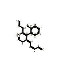 C=C/C=C\C=C1/CC=NC(CC=C)=C1c1ccccc1C